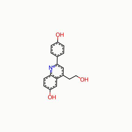 OCCc1cc(-c2ccc(O)cc2)nc2ccc(O)cc12